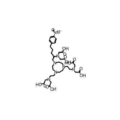 O=C(O)CN(CCN1CCN(CCN(CC(=O)O)CC(=O)O)CCN(CC(CCCc2ccc([N+](=O)[O-])cc2)N(CC(=O)O)CC(=O)O)CC1)CC(=O)O